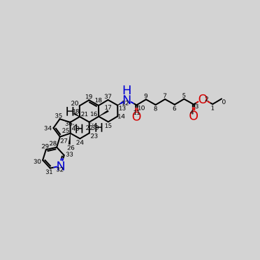 CCOC(=O)CCCCCC(=O)N[C@H]1CC[C@@]2(C)C(=CC[C@@H]3[C@@H]2CC[C@]2(C)C(c4cccnc4)=CC[C@@H]32)C1